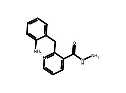 NNC(=O)c1cccnc1Cc1ccccc1N